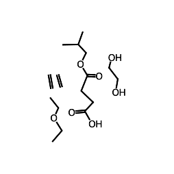 C=C.C=C.CC(C)COC(=O)CCC(=O)O.CCOCC.OCCO